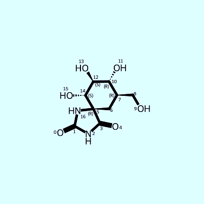 O=C1NC(=O)[C@]2(C[C@H](CO)[C@@H](O)[C@H](O)[C@H]2O)N1